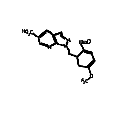 CC(C)COC1=CC=C(OC(F)(F)F)CC1Cn1ncc2cc(C(=O)O)cnc21